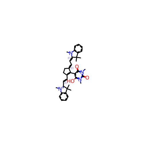 CN1/C(=C/C=C2\CCC(/C=C/C3=[N+](C)c4ccccc4C3(C)C)=C2c2c(O)n(C)c(=O)n(C)c2=O)C(C)(C)c2ccccc21